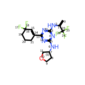 C=C(Nc1nc(N[C@H]2CCOC2)nc(C2=CC(F)(F)CCC2)n1)C(F)(F)F